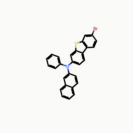 Brc1ccc2c(c1)sc1cc(N(c3ccccc3)c3ccc4ccccc4c3)ccc12